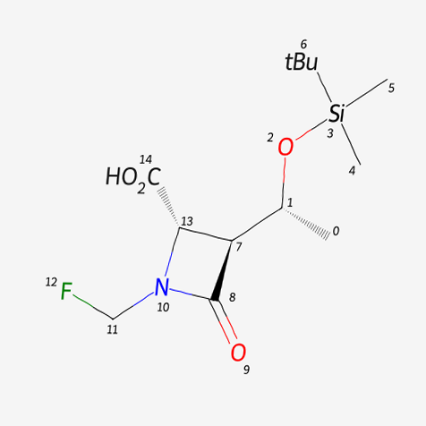 C[C@@H](O[Si](C)(C)C(C)(C)C)[C@H]1C(=O)N(CF)[C@@H]1C(=O)O